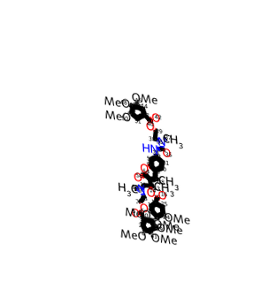 COc1cc(C(=O)OCCN(C)CC(C)(OC(=O)c2cc(OC)c(OC)c(OC)c2)c2c(C)c3ccc(NC(=O)N(C)CCOC(=O)c4cc(OC)c(OC)c(OC)c4)cc3oc2=O)cc(OC)c1OC